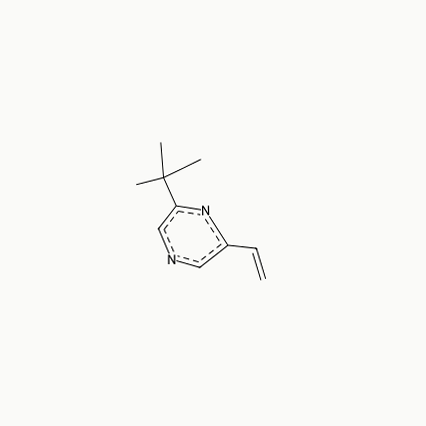 C=Cc1cncc(C(C)(C)C)n1